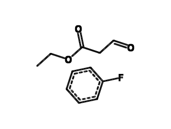 CCOC(=O)CC=O.Fc1ccccc1